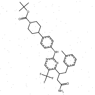 Cc1cccc(CC(CC(N)=O)c2nc(Nc3ccc(C4CCN(C(=O)OC(C)(C)C)CC4)cc3)ncc2C(F)(F)F)c1